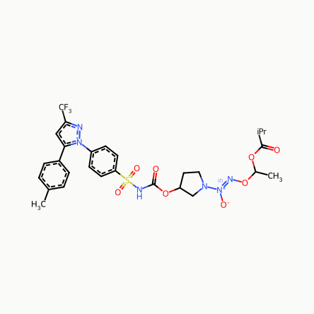 Cc1ccc(-c2cc(C(F)(F)F)nn2-c2ccc(S(=O)(=O)NC(=O)OC3CCN(/[N+]([O-])=N/OC(C)OC(=O)C(C)C)C3)cc2)cc1